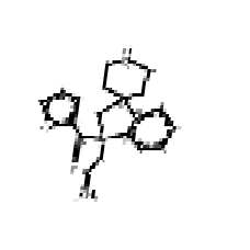 C=CC[N+]1(C(=O)c2cccs2)CC2(CCNCC2)c2ccccc21